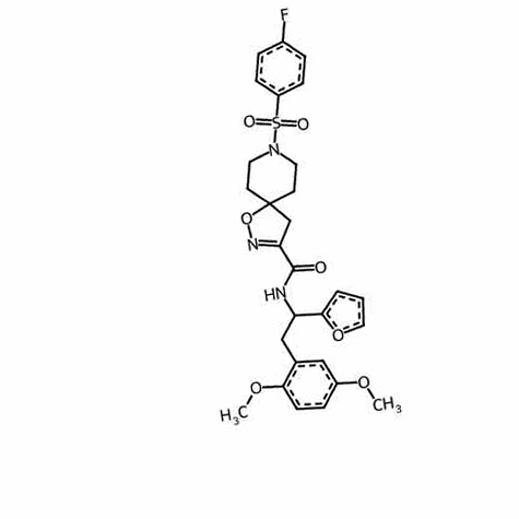 COc1ccc(OC)c(CC(NC(=O)C2=NOC3(CCN(S(=O)(=O)c4ccc(F)cc4)CC3)C2)c2ccco2)c1